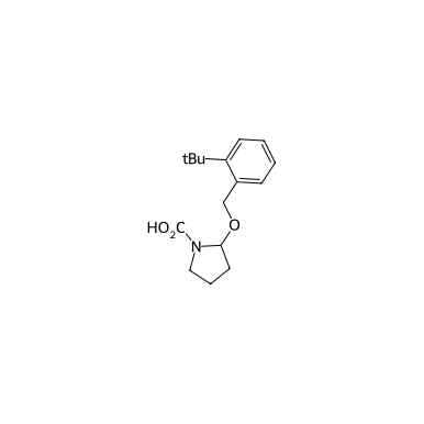 CC(C)(C)c1ccccc1COC1CCCN1C(=O)O